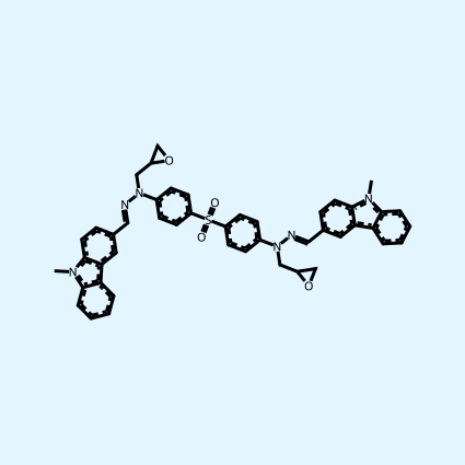 Cn1c2ccccc2c2cc(/C=N/N(CC3CO3)c3ccc(S(=O)(=O)c4ccc(N(CC5CO5)/N=C/c5ccc6c(c5)c5ccccc5n6C)cc4)cc3)ccc21